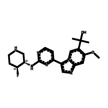 COc1cc2ncc(-c3ccnc(N[C@H]4CNCC[C@@H]4F)n3)n2cc1C(C)(C)O